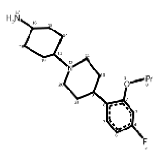 CC(C)Oc1cc(F)ccc1C1CCN(C2CCC(N)CC2)CC1